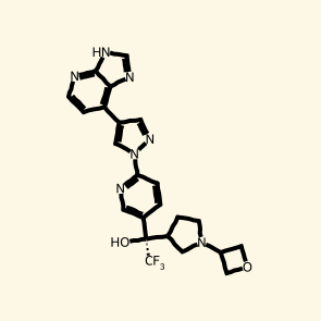 O[C@@](c1ccc(-n2cc(-c3ccnc4[nH]cnc34)cn2)nc1)(C1CCN(C2COC2)C1)C(F)(F)F